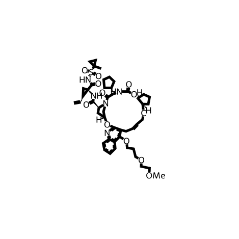 C=C[C@@H]1C[C@]1(NC(=O)[C@@H]1C[C@@H]2CN1C(=O)[C@H](C1CCCC1)NC(=O)O[C@@H]1CCC[C@H]1CCC=CCc1c(nc3ccccc3c1OCCCOCCOC)O2)C(=O)NS(=O)(=O)C1(C)CC1